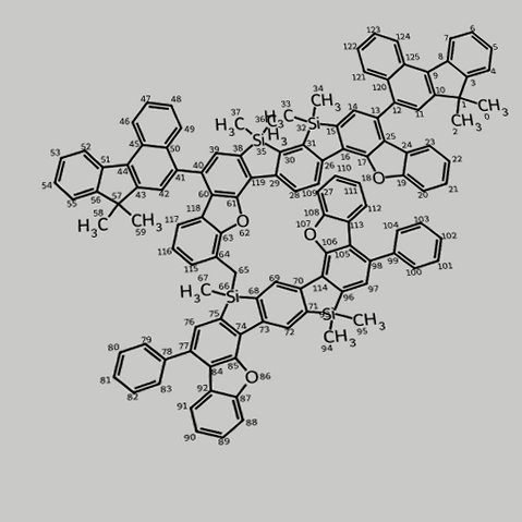 CC1(C)c2ccccc2-c2c1cc(-c1cc3c(c4oc5ccccc5c14)-c1ccc4c(c1[Si]3(C)C)[Si](C)(C)c1cc(-c3cc5c(c6ccccc36)-c3ccccc3C5(C)C)c3c(oc5c(C[Si]6(C)c7cc8c(cc7-c7c6cc(-c6ccccc6)c6c7oc7ccccc76)[Si](C)(C)c6cc(-c7ccccc7)c7c(oc9ccccc97)c6-8)cccc53)c1-4)c1ccccc21